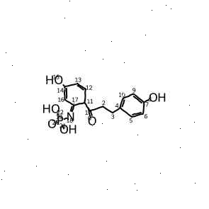 O=C(CCc1ccc(O)cc1)C1C=CC(O)=CC1=NP(=O)(O)O